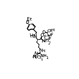 CCOc1ccc(CN[C@H](CCCNC(N)=N[N+](=O)[O-])C(N)=O)cc1.O=C(O)C(F)(F)F